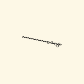 C=CCCCCCCCCCCCCCCCCCCCCOCCOCCOCC(=O)OCC